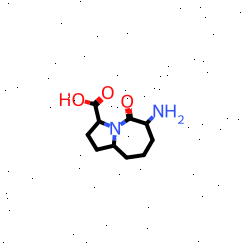 NC1CCCC2CCC(C(=O)O)N2C1=O